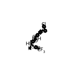 Cc1cc(S(=O)(=O)NC(=O)c2ccc(N3CCN(Cc4ccccc4-c4ccc(Cl)cc4)CC3)cc2)ccc1N[C@H](CCN(C)C)CSc1ccc(OC(F)(F)F)cc1